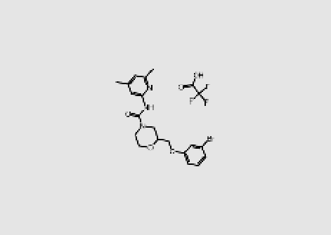 Cc1cc(C)nc(NC(=O)N2CCOC(COc3cccc(Br)c3)C2)c1.O=C(O)C(F)(F)F